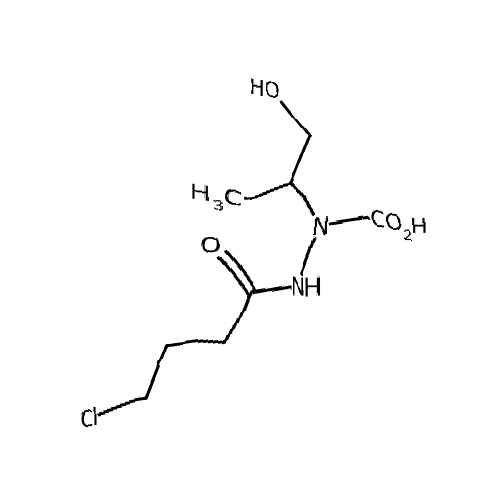 CC(CO)N(NC(=O)CCCCl)C(=O)O